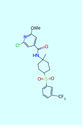 COc1cc(C(=O)NC2(C)CCC(S(=O)(=O)c3cccc(C(F)(F)F)c3)CC2)cc(Cl)n1